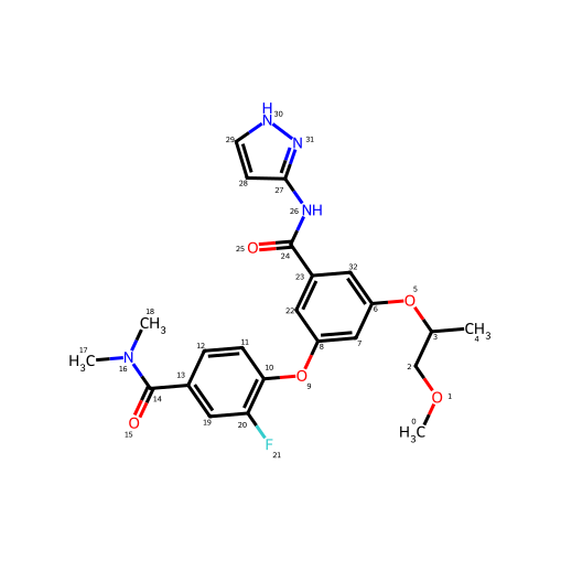 COCC(C)Oc1cc(Oc2ccc(C(=O)N(C)C)cc2F)cc(C(=O)Nc2cc[nH]n2)c1